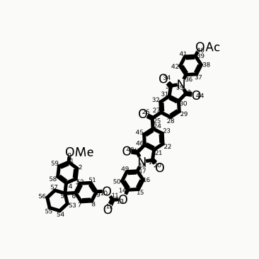 COc1ccc(C2(c3ccc(OC(=O)Oc4ccc(N5C(=O)c6ccc(C(=O)c7ccc8c(c7)C(=O)N(c7ccc(OC(C)=O)cc7)C8=O)cc6C5=O)cc4)cc3)CCCCC2)cc1